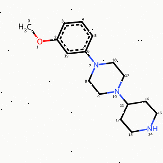 COc1cccc(N2CCN(C3CCNCC3)CC2)c1